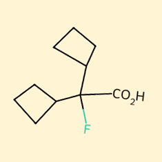 O=C(O)C(F)(C1CCC1)C1CCC1